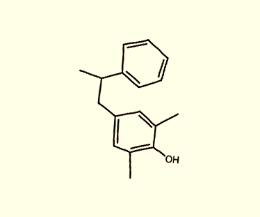 Cc1cc(CC(C)c2ccccc2)cc(C)c1O